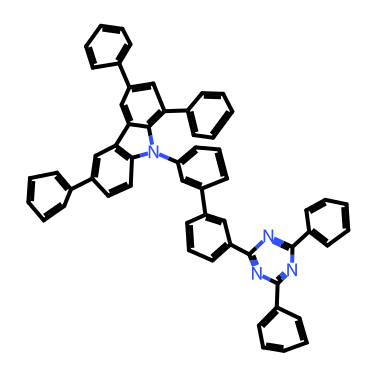 c1ccc(-c2ccc3c(c2)c2cc(-c4ccccc4)cc(-c4ccccc4)c2n3-c2cccc(-c3cccc(-c4nc(-c5ccccc5)nc(-c5ccccc5)n4)c3)c2)cc1